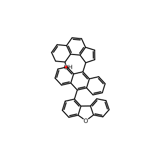 OC1CC=Cc2ccc3c(c21)C(c1c2ccccc2c(-c2cccc4oc5ccccc5c24)c2ccccc12)C=C3